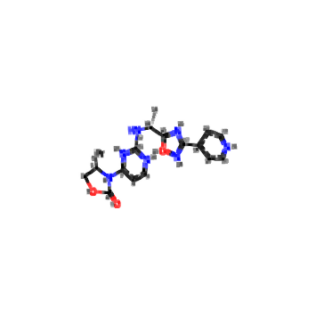 CC(C)C1COC(=O)N1c1ccnc(N[C@H](C)c2nc(-c3ccncc3)no2)n1